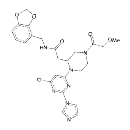 COCC(=O)N1CCN(c2cc(Cl)nc(-n3ccnc3)n2)C(CC(=O)NCc2cccc3c2OCO3)C1